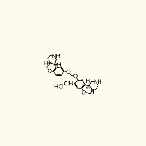 Cl.Cl.c1cc2c(cc1OCOc1ccc3c(c1)[C@H]1CNCC[C@H]1CO3)[C@H]1CNCC[C@H]1CO2